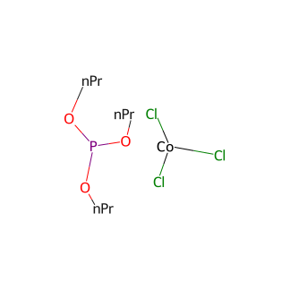 CCCOP(OCCC)OCCC.[Cl][Co]([Cl])[Cl]